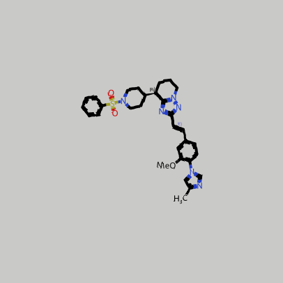 COc1cc(/C=C/c2nc3n(n2)CCC[C@@H]3C2CCN(S(=O)(=O)c3ccccc3)CC2)ccc1-n1cnc(C)c1